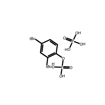 CC(C)(C)c1ccc(OP(=O)(O)O)c(C(C)(C)C)c1.O=P(O)(O)O